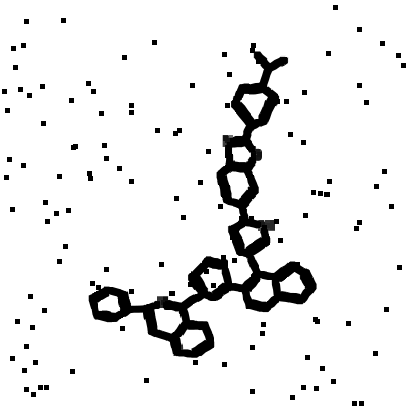 CC(C)c1ccc(-c2nc3ccc(C4C=CC(c5c(-c6cccc(-c7nc(-c8ccccc8)cc8ccccc78)c6)ccc6ccccc56)=CN4)cc3o2)cc1